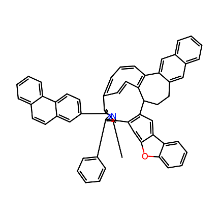 CC1C/C=C2C(=C(c3ccc4c(ccc5ccccc54)c3)/N=C\1c1ccccc1)C1=C\C=C/C3=C(\C=C\1)C(CCc1cc4ccccc4cc13)c1cc3c(cc1/2)oc1ccccc13